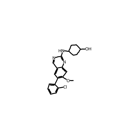 COc1cc2nc(NC3CCC(O)CC3)ncc2cc1-c1ccccc1Cl